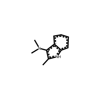 Cc1[nH]c2ccccc2c1N(C)C